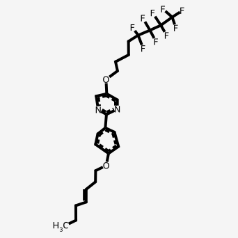 CCCC=CCCOc1ccc(-c2ncc(OCCCCC(F)(F)C(F)(F)C(F)(F)C(F)(F)F)cn2)cc1